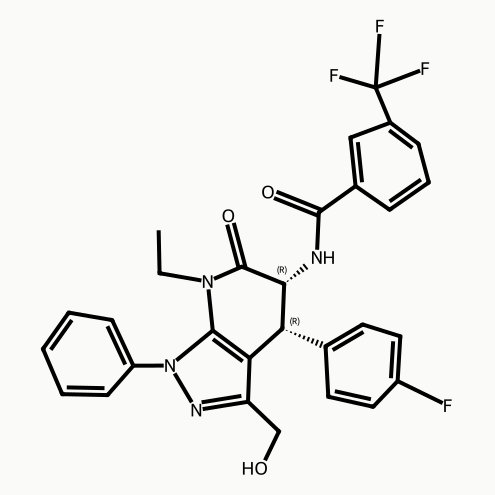 CCN1C(=O)[C@H](NC(=O)c2cccc(C(F)(F)F)c2)[C@H](c2ccc(F)cc2)c2c(CO)nn(-c3ccccc3)c21